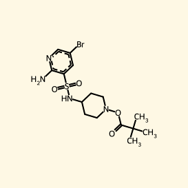 CC(C)(C)C(=O)ON1CCC(NS(=O)(=O)c2cc(Br)cnc2N)CC1